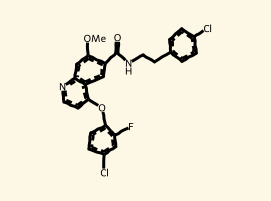 COc1cc2nccc(Oc3ccc(Cl)cc3F)c2cc1C(=O)NCCc1ccc(Cl)cc1